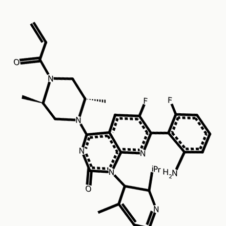 C=CC(=O)N1C[C@H](C)N(c2nc(=O)n(C3C(C)=CC=NC3C(C)C)c3nc(-c4c(N)cccc4F)c(F)cc23)C[C@H]1C